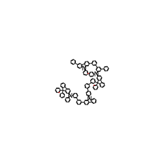 c1ccc(-c2cc(-c3cccc(-c4ccc5c6cc(-c7ccccc7)ccc6n(-c6ccccc6)c5c4)c3)cc(N(c3ccccc3)c3ccc4c(c3)C(c3ccccc3)(c3cccc(-c5cccc(-c6ccc(-n7c8ccccc8c8ccc(-c9cccc(-c%10cccc(N(c%11ccccc%11)c%11ccc%12c(c%11)C(c%11ccccc%11)(c%11ccccc%11)c%11ccccc%11-%12)c%10)c9)cc87)cc6)c5)c3)c3ccccc3-4)c2)cc1